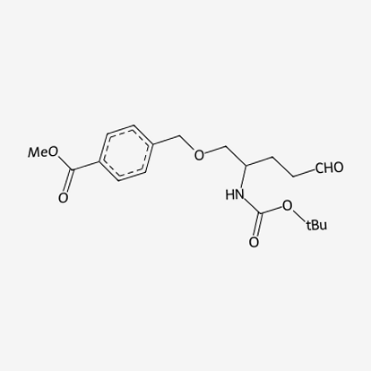 COC(=O)c1ccc(COCC(CCC=O)NC(=O)OC(C)(C)C)cc1